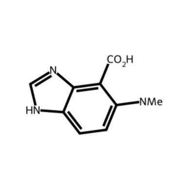 CNc1ccc2[nH]cnc2c1C(=O)O